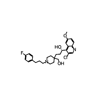 COc1ccc2ncc(Cl)c([C@@H](O)CCC3(CO)CCN(CCCc4ccc(F)cc4)CC3)c2c1